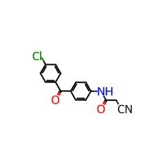 N#CCC(=O)Nc1ccc(C(=O)c2ccc(Cl)cc2)cc1